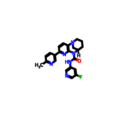 Cc1ccc(-c2ccc3c(n2)N(C(=O)Nc2cncc(F)c2)[C@H]2CCCN3C2)cn1